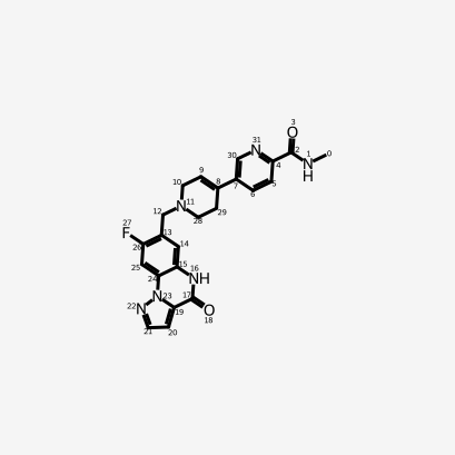 CNC(=O)c1ccc(C2=CCN(Cc3cc4[nH]c(=O)c5ccnn5c4cc3F)CC2)cn1